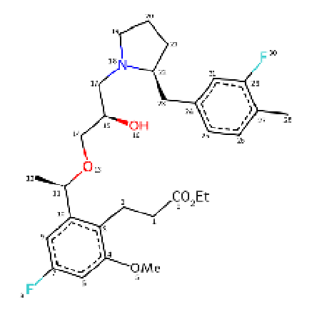 CCOC(=O)CCc1c(OC)cc(F)cc1[C@@H](C)OC[C@H](O)CN1CCC[C@H]1Cc1ccc(C)c(F)c1